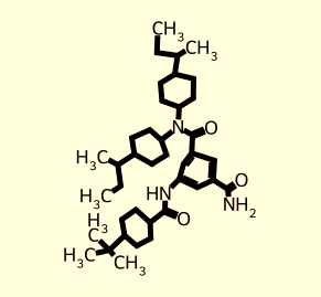 CCC(C)C1CCC(N(C(=O)c2cc(NC(=O)C3CCC(C(C)(C)C)CC3)cc(C(N)=O)c2)C2CCC(C(C)CC)CC2)CC1